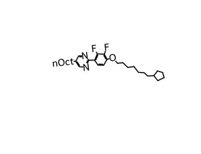 CCCCCCCCc1cnc(-c2ccc(OCCCCCCCC3CCCC3)c(F)c2F)nc1